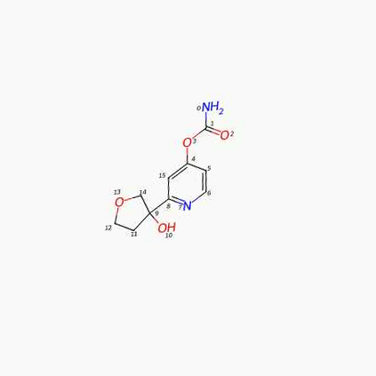 NC(=O)Oc1ccnc(C2(O)CCOC2)c1